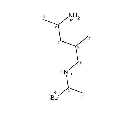 CCC(C)C(C)NCC(C)CC(C)N